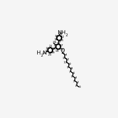 CCCCCCCCCCCCCCCCOc1cc(-c2ccc(N)cc2)c(C)c(-c2ccc(N)cc2)c1